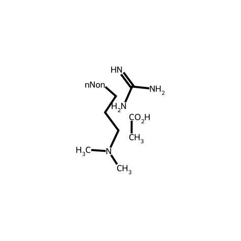 CC(=O)O.CCCCCCCCCCCCN(C)C.N=C(N)N